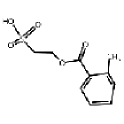 Cc1ccccc1C(=O)OCCS(=O)(=O)O